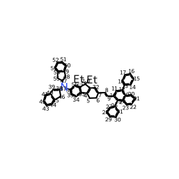 CCC1(CC)C2=C(CCC(/C=C/c3cc(-c4ccccc4)c4ccccc4c3-c3ccccc3)=C2)c2ccc(N(C3=Cc4ccccc4C3)C3Cc4ccccc4C3)cc21